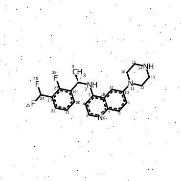 C[C@@H](Nc1ccnc2ccc(N3CCNCC3)cc12)c1cccc(C(F)F)c1F